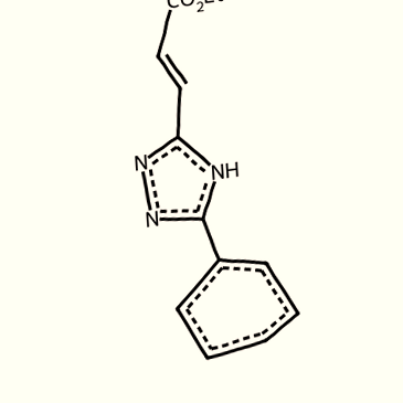 CCOC(=O)/C=C/c1nnc(-c2ccccc2)[nH]1